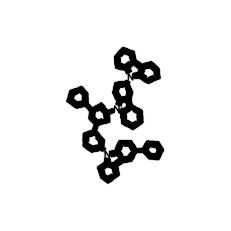 c1ccc(-c2cc(-c3cccc(-n4c5ccccc5c5cc(-c6ccccc6)ccc54)c3)cc(-n3c4ccccc4c4cc(-n5c6ccccc6c6ccccc65)ccc43)c2)cc1